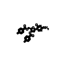 Cc1ccc(C(=O)OC[C@H]2O[C@@H](n3cnc(N)nc3=O)CC2OC(=O)c2ccc(C)cc2)cc1